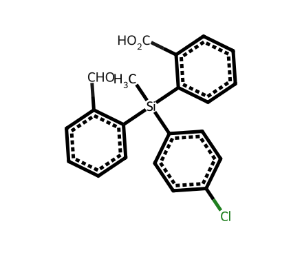 C[Si](c1ccc(Cl)cc1)(c1ccccc1C=O)c1ccccc1C(=O)O